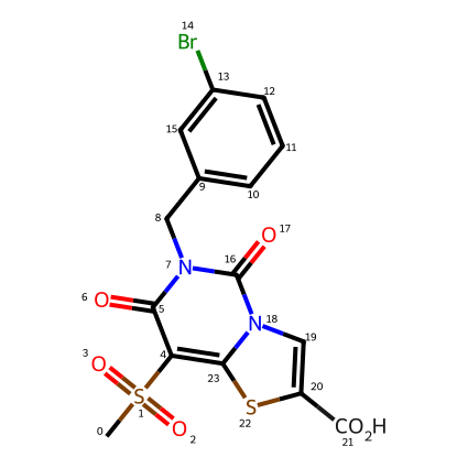 CS(=O)(=O)c1c(=O)n(Cc2cccc(Br)c2)c(=O)n2cc(C(=O)O)sc12